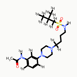 [2H]c1cc([2H])c(N([2H])C(C)=O)c([2H])c1N1CCN(C([2H])([2H])CCCN([2H])S(=O)(=O)C([2H])([2H])C([2H])(C([2H])([2H])[2H])C([2H])([2H])[2H])CC1